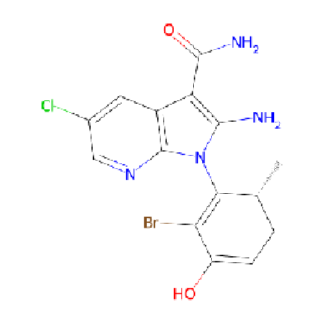 C[C@@H]1CC=C(O)C(Br)=C1n1c(N)c(C(N)=O)c2cc(Cl)cnc21